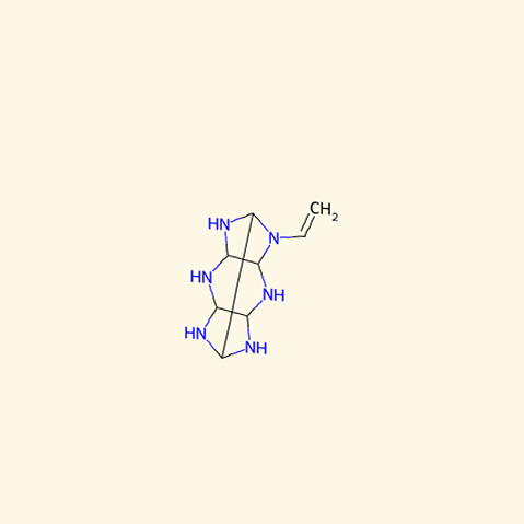 C=CN1C2NC3NC4NC3NC2NC41